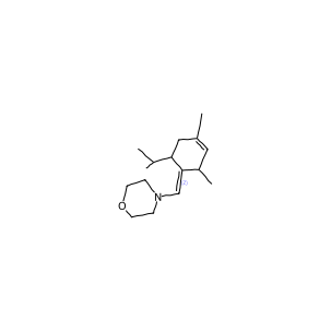 CC1=CC(C)/C(=C/N2CCOCC2)C(C(C)C)C1